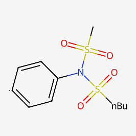 CCCCS(=O)(=O)N(c1cc[c]cc1)S(C)(=O)=O